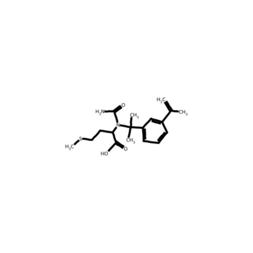 C=C(C)c1cccc(C(C)(C)N(C(N)=O)C(CCSC)C(=O)O)c1